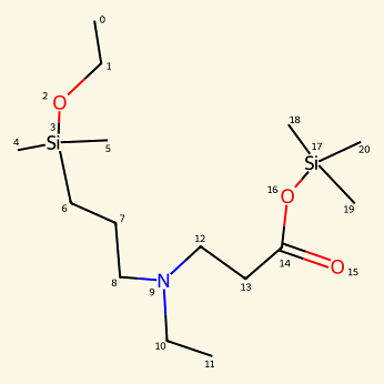 CCO[Si](C)(C)CCCN(CC)CCC(=O)O[Si](C)(C)C